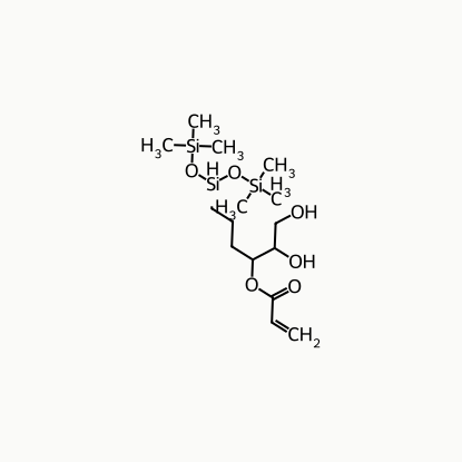 C=CC(=O)OC(CCC[SiH](O[Si](C)(C)C)O[Si](C)(C)C)C(O)CO